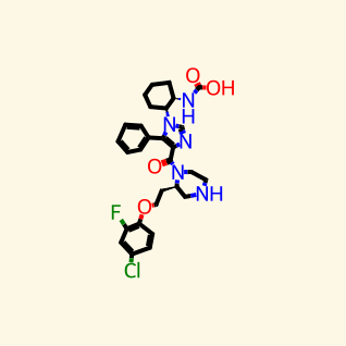 O=C(O)N[C@H]1CCCC[C@@H]1n1cnc(C(=O)N2CCNC[C@H]2CCOc2ccc(Cl)cc2F)c1-c1ccccc1